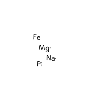 [Fe].[Mg].[Na].[P]